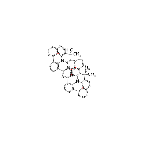 CC1(C)c2ccccc2N(c2c(-c3ccccc3)cccc2-c2nc(-c3cccc(-c4ccccc4)c3N3c4ccccc4C(C)(C)c4ccccc43)nc(C3CC=CCC3)n2)c2ccccc21